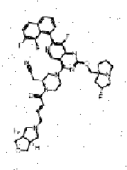 N#CC[C@H]1CN(c2nc(OC[C@@]34CCCN3C[C@H](F)C4)nc3c(F)c(-c4cccc5ccc(F)c(F)c45)ncc23)CCN1C(=O)/C=C/CN1C[C@H]2COC[C@H]2C1